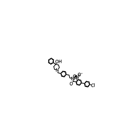 O=C(NCCc1ccc(CN2CCC(O)(c3ccccc3)CC2)cc1)c1ccc(-c2ccc(Cl)cc2)cc1[N+](=O)[O-]